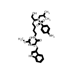 COC(=O)N[C@@H](Cc1c[nH]c2ccccc12)C(=O)NCCCC[C@@H](CO)N(CC(C)C)S(=O)(=O)c1ccc(N)cc1